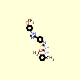 Cc1cccc(C)c1NC(=O)Nc1nc2ccc(-c3ncn(-c4ccc(OC(F)(F)F)cc4)n3)cc2s1